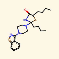 CCCCC1SC(CCCC)(N2CCN(c3nsc4ccccc34)CC2)NC1=O